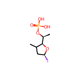 CC1C[C@H](I)O[C@@H]1[C@H](C)OP(=O)(O)O